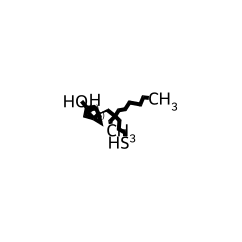 CCCCCCC(CC)(CCCS)C[C@@]12CC13CC(O)[C@H]2C3